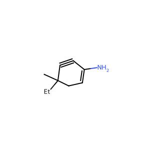 CCC1(C)C#CC(N)=CC1